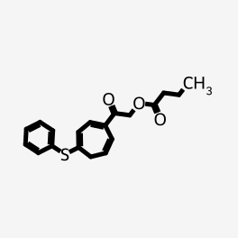 CCCC(=O)OCC(=O)C1=CC=C(Sc2ccccc2)CC=C1